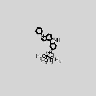 CC1(C)OB(c2ccc3[nH]c4ccc5c(ccn5-c5ccccc5)c4c3c2)OC1(C)C